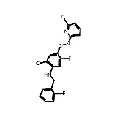 Fc1cccc(NSc2cc(Cl)c(NCc3ccccc3F)cc2F)n1